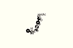 CC(=O)NCn1cc(-c2ccc(N3CCN(C(=O)CSc4nnc(-c5ccccc5)[nH]4)CC3)c(F)c2)c(=O)o1